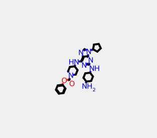 NC1CCC(Nc2nc(NC3CCN(C(=O)Oc4ccccc4)CC3)c3ncn(C4CCCC4)c3n2)CC1